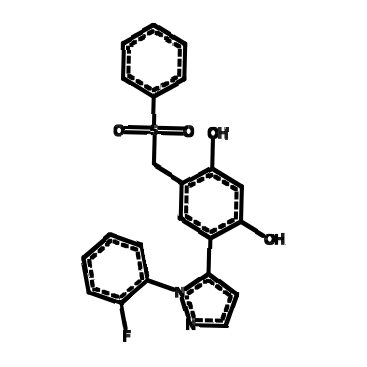 O=S(=O)(Cc1cc(-c2ccnn2-c2ccccc2F)c(O)cc1O)c1ccccc1